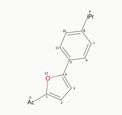 CC(=O)c1ccc(-c2ccc(C(C)C)cc2)o1